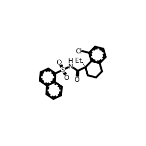 CC[C@@]1(C(=O)NS(=O)(=O)c2cccc3ccccc23)CCCc2cccc(Cl)c21